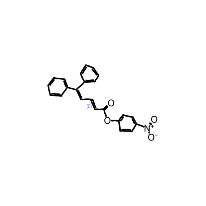 O=C(/C=C/C=C(c1ccccc1)c1ccccc1)Oc1ccc([N+](=O)[O-])cc1